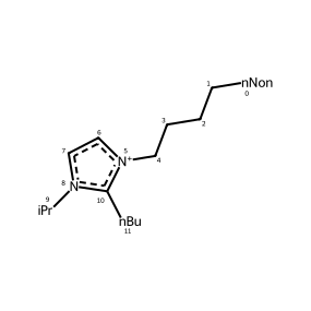 CCCCCCCCCCCCC[n+]1ccn(C(C)C)c1CCCC